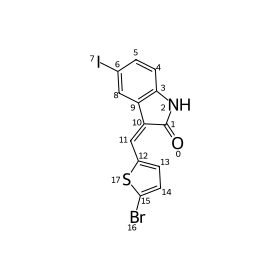 O=C1Nc2ccc(I)cc2C1=Cc1ccc(Br)s1